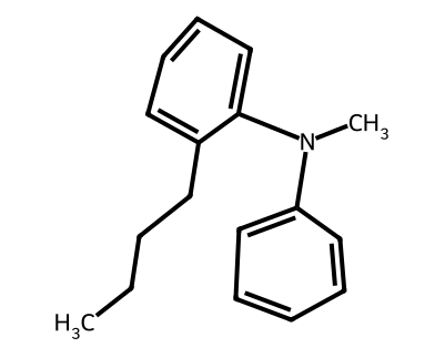 CCCCc1ccccc1N(C)c1ccccc1